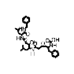 CC(C)CC(NOCC(O)C(CC(C)C)NC(=O)CC1OC1C(Cc1ccccc1)NC(=O)O)C(=O)NCc1ccccc1